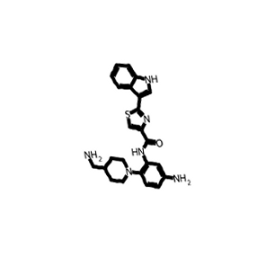 NCC1CCN(c2ccc(N)cc2NC(=O)c2csc(-c3c[nH]c4ccccc34)n2)CC1